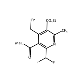 CCOC(=O)c1c(C(F)(F)F)nc(C(F)F)c(C(=O)OC)c1CC(C)C